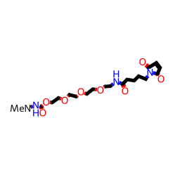 CNNC(=O)OCCOCCOCCOCCNC(=O)CCCCN1C(=O)C=CC1=O